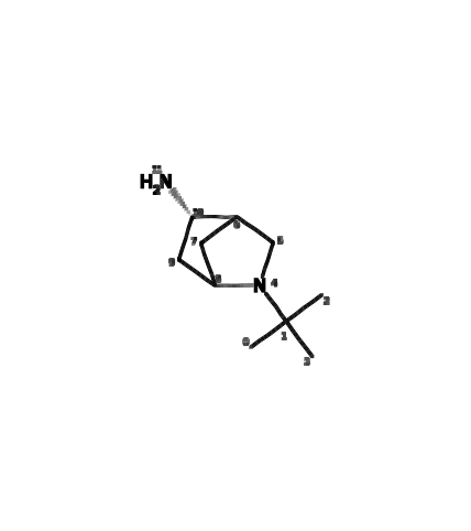 CC(C)(C)N1CC2CC1C[C@@H]2N